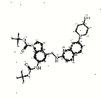 CC(C)(C)OC(=O)Nc1cc(CNc2cnc3ccc(N4CCC(O)CC4)nc3n2)c2ccn(C(=O)OC(C)(C)C)c2c1